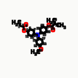 C=CC(=O)Oc1ccc(N(c2ccc(OC)cc2)c2ccc(OC(=O)C(=C)C)cc2)cc1